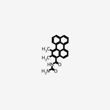 Cc1c(C(=O)NC(N)=O)c2cccc3c4cccc5cccc(c(c1C)c23)c54